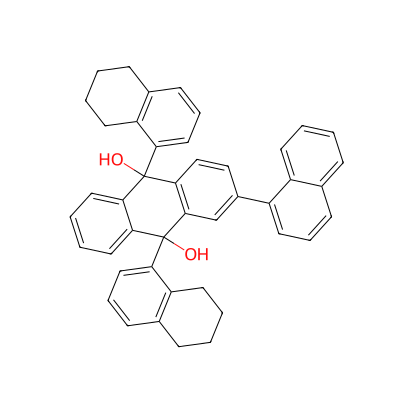 OC1(c2cccc3c2CCCC3)c2ccccc2C(O)(c2cccc3c2CCCC3)c2cc(-c3cccc4ccccc34)ccc21